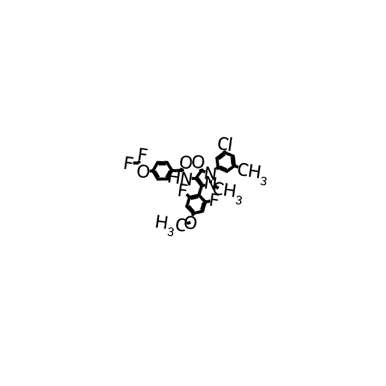 COc1cc(F)c(-c2c(NC(=O)c3ccc(OC(F)F)cc3)c(=O)n(-c3cc(C)cc(Cl)c3)n2C)c(F)c1